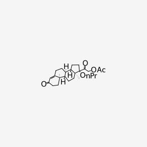 CCCO[C@]1(C(=O)COC(C)=O)CC[C@H]2[C@@H]3CCC4=CC(=O)CC[C@]4(C)[C@H]3CC[C@@]21C